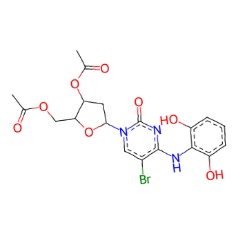 CC(=O)OCC1OC(n2cc(Br)c(Nc3c(O)cccc3O)nc2=O)CC1OC(C)=O